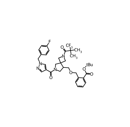 CC(C)(C)OC(=O)c1ccccc1COCC1CN(C(=O)c2cnn(Cc3ccc(F)cc3)c2)CC12CN(C(=O)C(C)(C)C(F)(F)F)C2